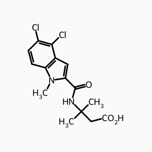 Cn1c(C(=O)NC(C)(C)CC(=O)O)cc2c(Cl)c(Cl)ccc21